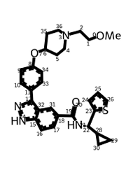 COCCN1CCC(Oc2ccc(-c3n[nH]c4ccc(C(=O)N[C@H](c5cccs5)C5CC5)cc34)cc2)CC1